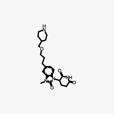 Cn1c(=O)n(C2CCC(=O)NC2=O)c2ccc(CCCOCC3CCNCC3)cc21